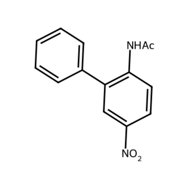 CC(=O)Nc1ccc([N+](=O)[O-])cc1-c1ccccc1